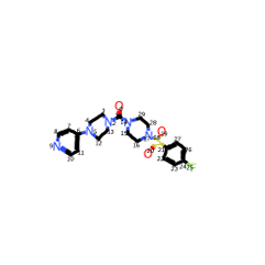 O=C(N1CCN(c2ccncc2)CC1)N1CCN(S(=O)(=O)c2ccc(F)cc2)CC1